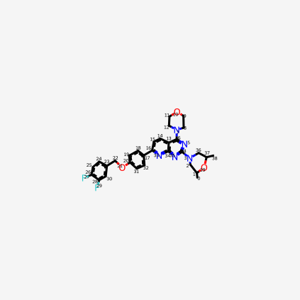 CC1CN(c2nc(N3CCOCC3)c3ccc(-c4ccc(OCc5ccc(F)c(F)c5)cc4)nc3n2)CC(C)O1